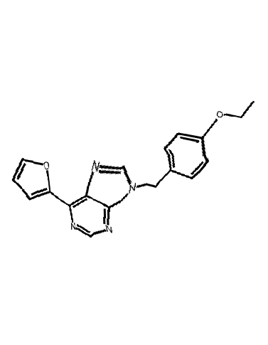 CCOc1ccc(Cn2cnc3c(-c4ccco4)ncnc32)cc1